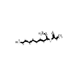 C=CC(=O)OC(CCCCCCCC)OC